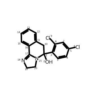 OC1(c2ccc(Cl)cc2Cl)Cc2ccccc2C2=NCCN21